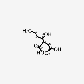 CCCC(O)C(CC(=O)O)C(=O)O